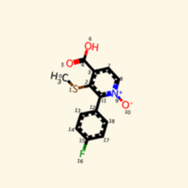 CSc1c(C(=O)O)cc[n+]([O-])c1-c1ccc(F)cc1